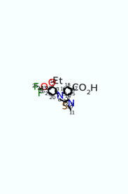 CCOc1cc(N(Cc2cnc(C)s2)c2ccc(C(=O)O)cc2)ccc1OC(F)F